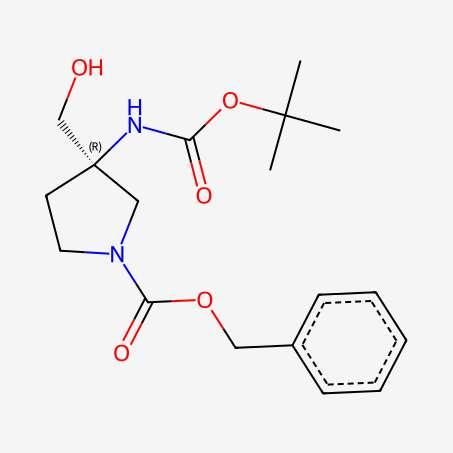 CC(C)(C)OC(=O)N[C@]1(CO)CCN(C(=O)OCc2ccccc2)C1